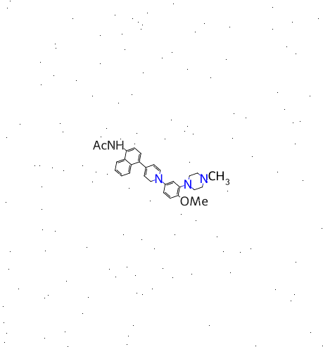 COc1ccc(N2C=CC(c3ccc(NC(C)=O)c4ccccc34)=CC2)cc1N1CCN(C)CC1